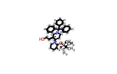 CC(C)(C)[Si](C)(C)OC1CCCCN1C1CCN(C(c2ccccc2)(c2ccccc2)c2ccccc2)C/C1=C\CO